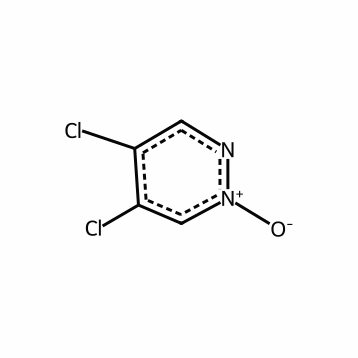 [O-][n+]1cc(Cl)c(Cl)cn1